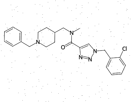 CN(CC1CCN(Cc2ccccc2)CC1)C(=O)c1cn(Cc2ccccc2Cl)nn1